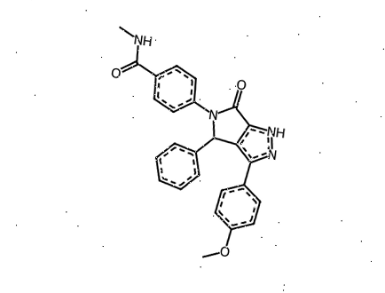 CNC(=O)c1ccc(N2C(=O)c3[nH]nc(-c4ccc(OC)cc4)c3C2c2ccccc2)cc1